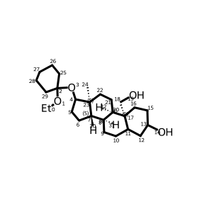 CCOC1(OC2CC[C@H]3[C@@H]4CCC5CC(O)CC[C@]5(CO)[C@@H]4CC[C@]23C)CCCCC1